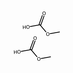 COC(=O)O.COC(=O)O